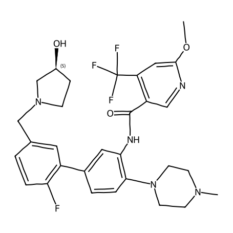 COc1cc(C(F)(F)F)c(C(=O)Nc2cc(-c3cc(CN4CC[C@H](O)C4)ccc3F)ccc2N2CCN(C)CC2)cn1